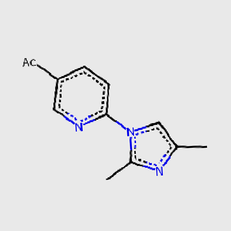 CC(=O)c1ccc(-n2cc(C)nc2C)nc1